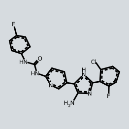 Nc1nc(-c2c(F)cccc2Cl)[nH]c1-c1ccc(NC(=O)Nc2ccc(F)cc2)nc1